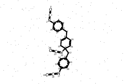 O=C=Nc1ccc(CC2=CCC(Cc3ccc(N=C=O)cc3)(N=C=O)C=C2)cc1